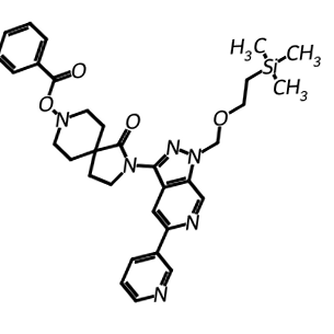 C[Si](C)(C)CCOCn1nc(N2CCC3(CCN(OC(=O)c4ccccc4)CC3)C2=O)c2cc(-c3cccnc3)ncc21